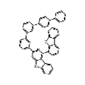 c1ccc(-c2ccc(-c3cccc(-c4cccc(-c5nc(-c6cccc7c6oc6ccccc67)c6c(n5)oc5ccccc56)c4)c3)cc2)cc1